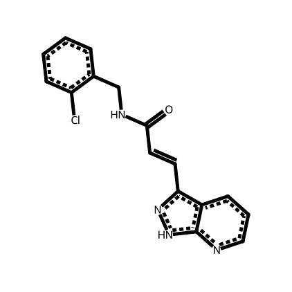 O=C(C=Cc1n[nH]c2ncccc12)NCc1ccccc1Cl